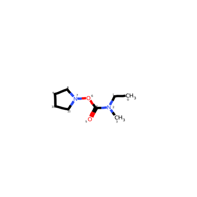 CCN(C)C(=O)ON1[CH]CCC1